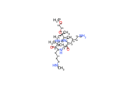 CNCCCCC(NCC(=O)C(CCCCN)NC)C(=O)C(C)(C)NCCC(C)(C)OCCOC